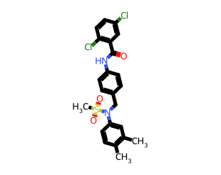 Cc1ccc(N(Cc2ccc(NC(=O)c3cc(Cl)ccc3Cl)cc2)S(C)(=O)=O)cc1C